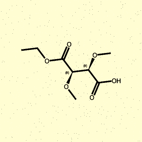 CCOC(=O)[C@H](OC)[C@@H](OC)C(=O)O